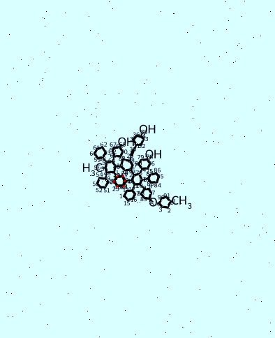 Cc1ccc(Oc2ccc(-c3c(-c4ccccc4)c(-c4ccccc4)c(-c4cc(C#Cc5ccc(O)cc5)cc(-c5c(-c6ccccc6)c(-c6ccccc6)c(C)c(-c6ccccc6)c5-c5ccc(O)cc5)c4)c(-c4ccc(O)cc4)c3-c3ccccc3)cc2)cc1